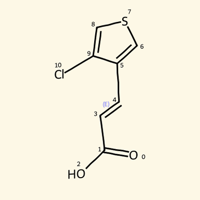 O=C(O)/C=C/c1cscc1Cl